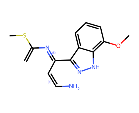 C=C(/N=C(\C=C/N)c1n[nH]c2c(OC)cccc12)SC